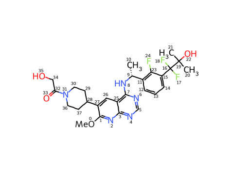 COc1nc2ncnc(N[C@H](C)c3cccc(C(F)(F)C(C)(C)O)c3F)c2cc1C1CCN(C(=O)CO)CC1